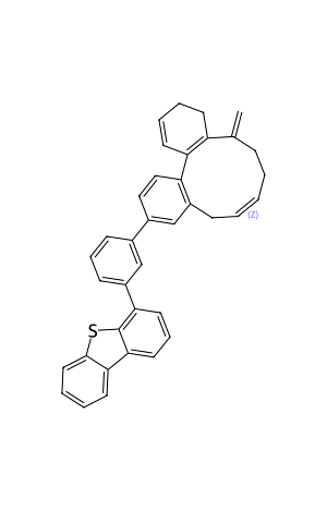 C=C1CC/C=C\Cc2cc(-c3cccc(-c4cccc5c4sc4ccccc45)c3)ccc2C2=C1CCC=C2